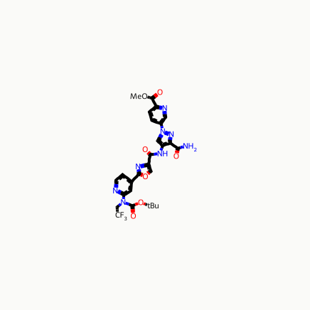 COC(=O)c1ccc(-n2cc(NC(=O)c3coc(-c4ccnc(N(CC(F)(F)F)C(=O)OC(C)(C)C)c4)n3)c(C(N)=O)n2)cn1